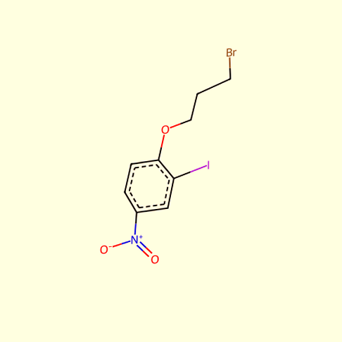 O=[N+]([O-])c1ccc(OCCCBr)c(I)c1